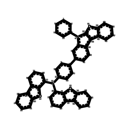 c1ccc(-n2c3cc(-c4ccc(N(c5cccc6c5oc5ccccc56)c5cccc6c5oc5ccccc56)cc4)ccc3c3c4ccccc4oc32)cc1